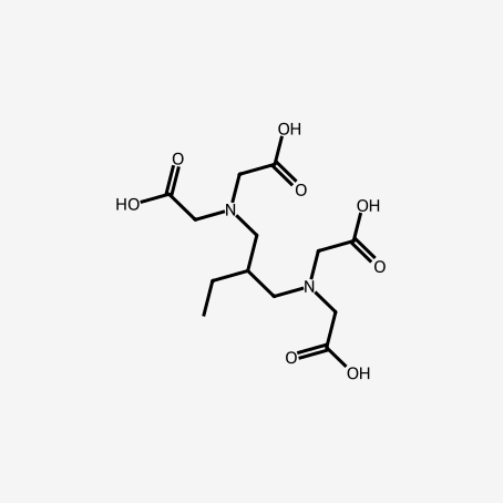 CCC(CN(CC(=O)O)CC(=O)O)CN(CC(=O)O)CC(=O)O